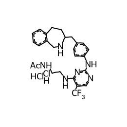 CC(=O)NCCNc1nc(Nc2ccc(CC3CCc4ccccc4CN3)cc2)ncc1C(F)(F)F.Cl.Cl